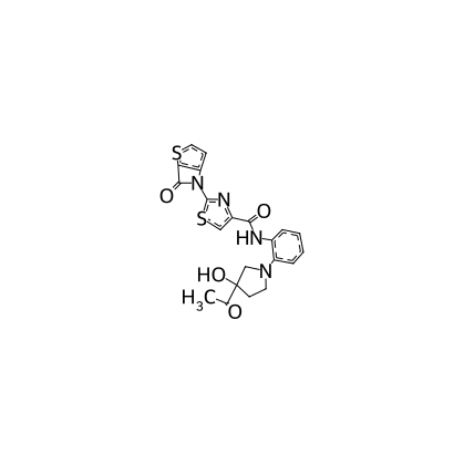 CC(=O)C1(O)CCN(c2ccccc2NC(=O)c2csc(N3C(=O)c4sccc43)n2)C1